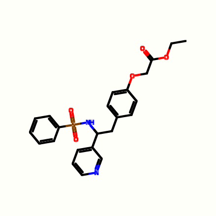 CCOC(=O)COc1ccc(CC(NS(=O)(=O)c2ccccc2)c2cccnc2)cc1